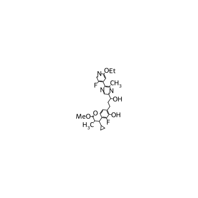 CCOc1cc(-c2ncc(C(O)CCc3ccc(C(C4CC4)C(C)C(=O)OC)c(F)c3O)nc2C)c(F)cn1